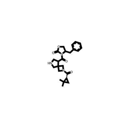 CC1(C)C[C@@H]1C(=O)N1CC2(CNCC2C(=O)N2C(=O)OCC2Cc2ccccc2)C1